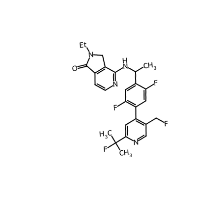 CCN1Cc2c(ccnc2NC(C)c2cc(F)c(-c3cc(C(C)(C)F)ncc3CF)cc2F)C1=O